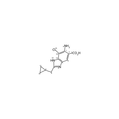 Nc1c(C(=O)O)cc2nc(CC3CC3)[nH]c2c1Cl